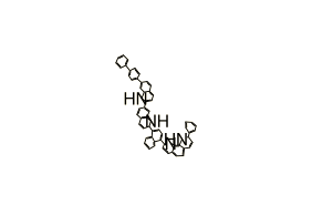 C1=CC2=CC=C(c3ccc4c(c3)NC(c3ccc(-c5ccc6ccc7c(c6n5)NC(c5ccccc5)C=C7)c5ccccc35)C=C4)NC2C=C1c1ccc(-c2ccccc2)cc1